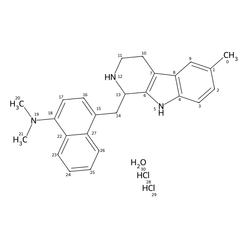 Cc1ccc2[nH]c3c(c2c1)CCNC3Cc1ccc(N(C)C)c2ccccc12.Cl.Cl.O